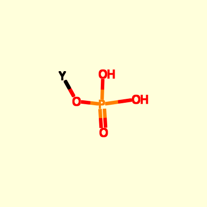 O=P(O)(O)[O][Y]